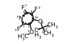 COc1c(F)nc(F)c(F)c1OC(C)(C)C